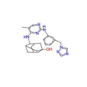 Cc1cnc(Nc2cccc(Cn3cncn3)c2)nc1NC1C2CC3CC1CC(O)(C3)C2